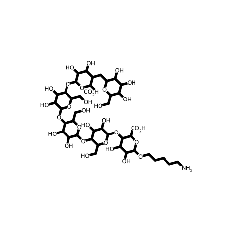 NCCCCCOC1OC(C(=O)O)C(OC2OC(CO)C(OC3OC(CO)C(OC4OC(CO)C(OC5OC(C(=O)O)C(CC6OC(CO)C(O)C(O)C6O)C(O)C5O)C(O)C4O)C(O)C3O)C(O)C2O)C(O)C1O